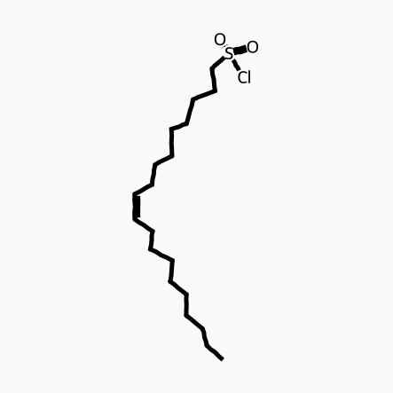 CCCCCCCCC/C=C\CCCCCCCCS(=O)(=O)Cl